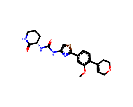 COc1cc(-c2nc(NC(=O)N[C@H]3CCCNC3=O)cs2)ccc1C1=CCOCC1